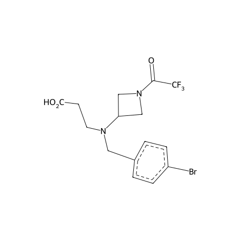 O=C(O)CCN(Cc1ccc(Br)cc1)C1CN(C(=O)C(F)(F)F)C1